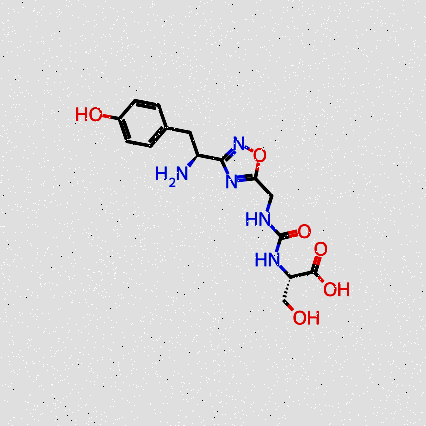 N[C@@H](Cc1ccc(O)cc1)c1noc(CNC(=O)N[C@@H](CO)C(=O)O)n1